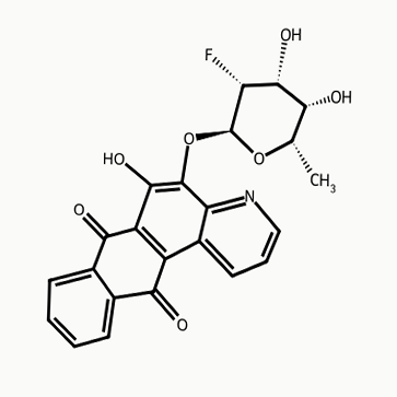 C[C@@H]1O[C@@H](Oc2c(O)c3c(c4cccnc24)C(=O)c2ccccc2C3=O)[C@H](F)[C@H](O)[C@@H]1O